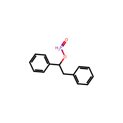 O=[PH2]OC(Cc1ccccc1)c1ccccc1